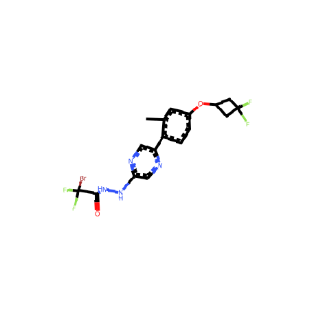 Cc1cc(OC2CC(F)(F)C2)ccc1-c1cnc(NNC(=O)C(F)(F)Br)cn1